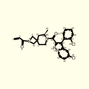 C=CC(=O)N1CC2(CCN(C(=O)c3nn4ccc(Cl)cc4c3-c3ccccc3Cl)[C@H](C)C2)C1